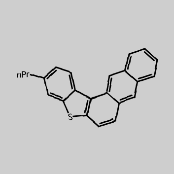 CCCc1ccc2c(c1)sc1ccc3cc4ccccc4cc3c12